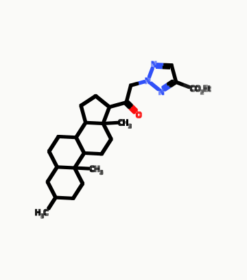 CCOC(=O)c1cnn(CC(=O)C2CCC3C4CCC5CC(C)CCC5(C)C4CCC23C)n1